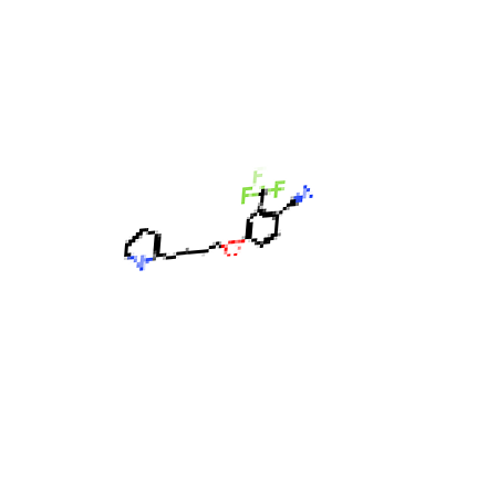 N#Cc1ccc(OCCCCc2ccccn2)cc1C(F)(F)F